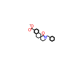 COC(=O)c1ccc2c(c1)CCC1(CCCN(Cc3ccccc3)C1=O)C2